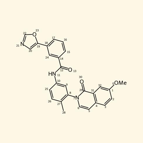 COc1ccc2ccn(-c3cc(NC(=O)c4cccc(-c5cnco5)c4)ccc3C)c(=O)c2c1